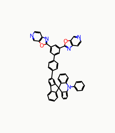 c1ccc(N2c3ccccc3C3(c4ccccc4-c4ccc(-c5ccc(-c6cc(-c7nc8ccncc8o7)cc(-c7nc8ccncc8o7)c6)cc5)cc43)c3ccccc32)cc1